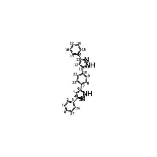 c1ccc(-c2cc(-c3ccc(-c4cc(-c5ccccc5)n[nH]4)cc3)[nH]n2)cc1